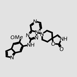 COC1=CC2C=CN=C2C=C1NC1=N[N+]2(N3CCC4(CC3)CNC(=O)O4)C=CN=CC2=N1